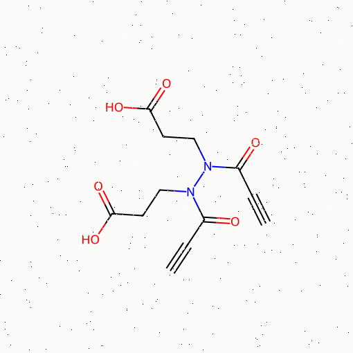 C#CC(=O)N(CCC(=O)O)N(CCC(=O)O)C(=O)C#C